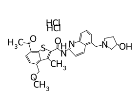 COCc1ccc(C(C)=O)c2sc(C(=O)Nc3ccc4c(CN5CC[C@@H](O)C5)cccc4n3)c(C)c12.Cl.Cl